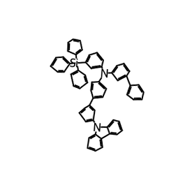 c1ccc(-c2cccc(N(c3ccc(-c4cccc(-n5c6ccccc6c6ccccc65)c4)cc3)c3cccc([Si](c4ccccc4)(c4ccccc4)c4ccccc4)c3)c2)cc1